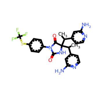 CC(c1ccnc(N)c1)C1(C(C)c2ccnc(N)c2)NC(=O)N(c2ccc(SC(F)(F)F)cc2)C1=O